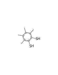 Cc1c(C)c(C)c(S)c(S)c1C